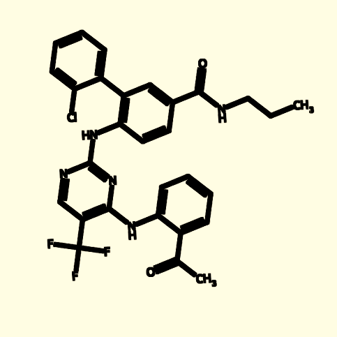 CCCNC(=O)c1ccc(Nc2ncc(C(F)(F)F)c(Nc3ccccc3C(C)=O)n2)c(-c2ccccc2Cl)c1